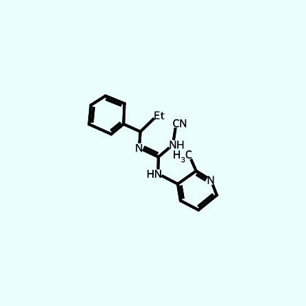 CCC(N=C(NC#N)Nc1cccnc1C)c1ccccc1